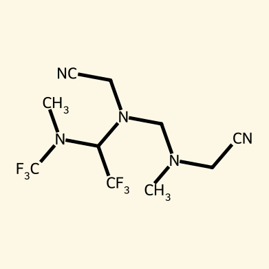 CN(CC#N)CN(CC#N)C(N(C)C(F)(F)F)C(F)(F)F